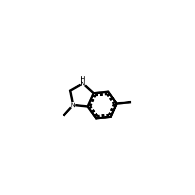 Cc1ccc2c(c1)NCN2C